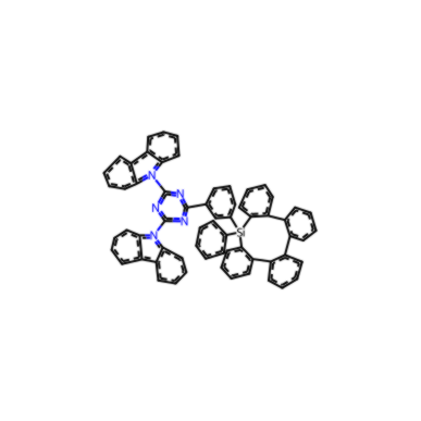 c1ccc([Si]2(c3cccc(-c4nc(-n5c6ccccc6c6ccccc65)nc(-n5c6ccccc6c6ccccc65)n4)c3)c3ccccc3-c3ccccc3-c3ccccc3-c3ccccc32)cc1